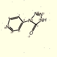 O=c1[nH]nnn1-c1ccncc1